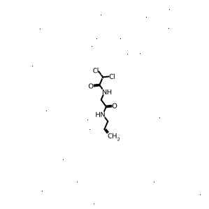 C=CCNC(=O)CNC(=O)C(Cl)Cl